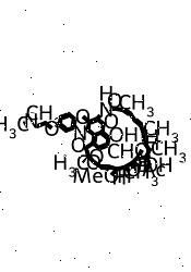 CO[C@H]1/C=C/O[C@@]2(C)Oc3c(C)c(O)c4c(=O)c(c5oc6ccc(OCCN(C)C)cc6nc-5c4c3C2=O)NC(=O)/C(C)=C\C=C\[C@H](C)[C@@H]2O[C@H]([C@H](O)[C@@H]2C)[C@H](OC(C)=O)[C@@H]1C